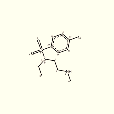 CC[SH](CCNC)S(=O)(=O)c1ccc(C)cc1